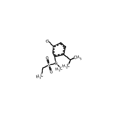 CCS(=O)(=O)N(C)c1cc(Cl)ccc1C(C)C